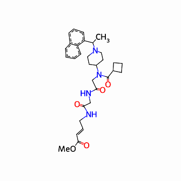 COC(=O)/C=C/CNC(=O)CNC(=O)CN(C(=O)C1CCC1)C1CCN(C(C)c2cccc3ccccc23)CC1